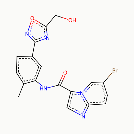 Cc1ccc(-c2noc(CO)n2)cc1NC(=O)c1cnc2ccc(Br)cn12